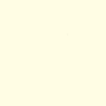 [CH2]c1cccc(C(=O)CCC(=O)O)c1